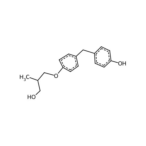 CC(CO)COc1ccc(Cc2ccc(O)cc2)cc1